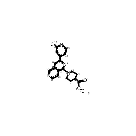 COC(=O)C1CCN(c2nc(-c3ccnc(Cl)c3)cc3cnccc23)CC1